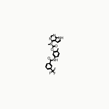 Cc1ccc(NC(=O)c2cccc(C(F)(F)F)c2)cc1OC(=O)N(C)c1ncnc2[nH]ccc12